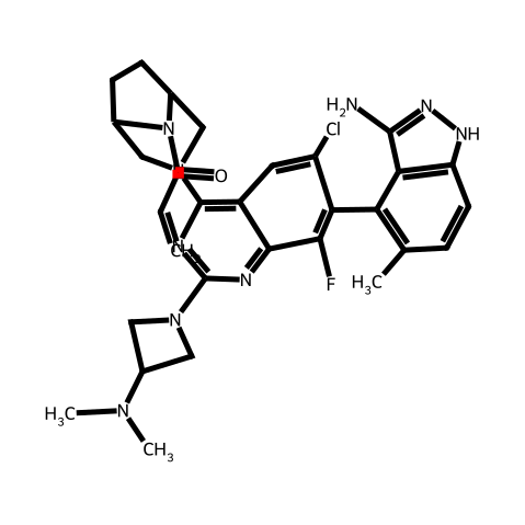 C=CC(=O)N1C2CCC1CN(c1nc(N3CC(N(C)C)C3)nc3c(F)c(-c4c(C)ccc5[nH]nc(N)c45)c(Cl)cc13)C2